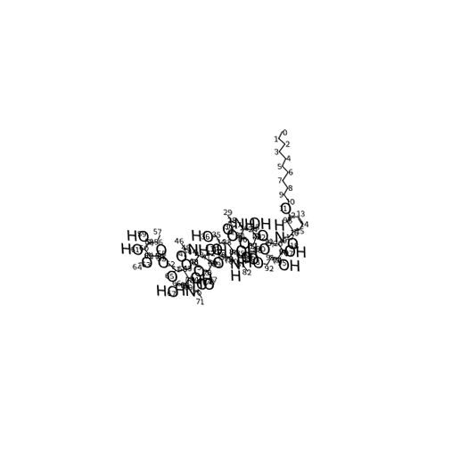 CCCCCCCCCCCOc1cccc(C(=O)NC2[C@H](O[C@H]3C(O)C(NC(C)=O)[C@H](OC4C(CO)O[C@@H](O[C@H]5C(O)C(NC(C)=O)[C@H](OC6C(CO[C@@H]7OC(C)[C@@H](O)C(O)[C@H]7OC)OC(O)[C@@H](NC(C)=O)[C@H]6O)O[C@H]5CO)[C@@H](NC(C)=O)[C@H]4O)O[C@H]3CO)OC(CO)[C@@H](O)[C@@H]2O)c1